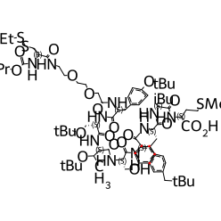 CCSSC[C@H](NC(=O)OC(C)C)C(=O)NCCOCCOCC(=O)N[C@@H](Cc1ccc(OC(C)(C)C)cc1)C(=O)N[C@@H](COC(C)(C)C)C(=O)N[C@H](C(=O)N[C@@H](CO)C(=O)N[C@@H](Cc1ccc(CC(C)(C)C)cc1)C(=O)N[C@@H](Cc1ccccc1)C(=O)N[C@H](C(=O)N[C@@H](CCSC)C(=O)O)C(C)CC)C(C)OC(C)(C)C